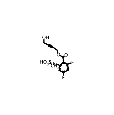 CS(=O)(=O)O.O=C(OCC#CCO)c1c(F)cc(F)cc1F